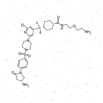 NCCOCCNC(=O)[C@H]1CC[C@H](C(F)(F)c2cc(Cl)nc(N3CCN(S(=O)(=O)c4ccc(N5C[C@H](N)CC5=O)cc4)CC3)c2)CC1